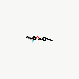 CCCCCc1ccc(OCCC[C@H]2CC[C@H](CCCCC)CC2)cc1F